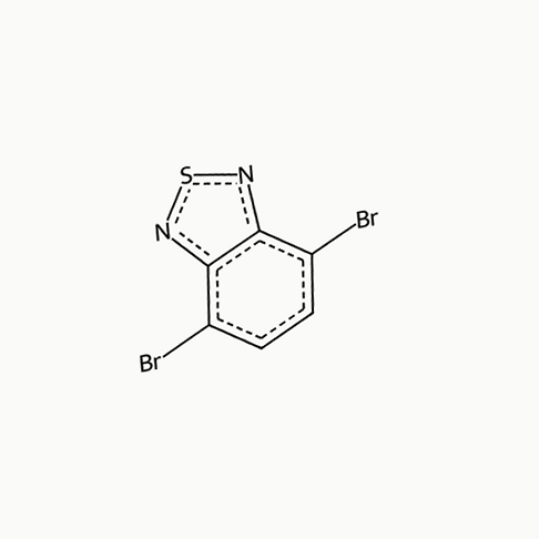 Brc1ccc(Br)c2nsnc12